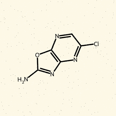 Nc1nc2nc(Cl)cnc2o1